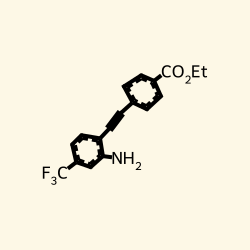 CCOC(=O)c1ccc(C#Cc2ccc(C(F)(F)F)cc2N)cc1